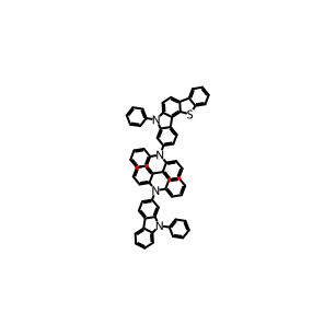 c1ccc(N(c2ccc3c4ccccc4n(-c4ccccc4)c3c2)c2ccccc2-c2ccccc2N(c2ccccc2)c2ccc3c4c5sc6ccccc6c5ccc4n(-c4ccccc4)c3c2)cc1